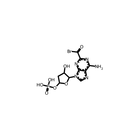 Nc1nc(C(=O)Br)nc2c1ncn2C1OC(OP(=O)(O)O)CC1O